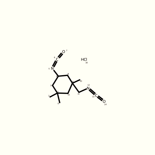 CC1(C)CC(N=C=O)CC(C)(CN=C=O)C1.Cl